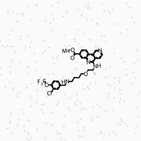 COC(=O)c1ccc2c(c1)nc(N[C@H](C)COCCCCNCc1ccc(OC(F)(F)F)c(Cl)c1)c1ccncc12